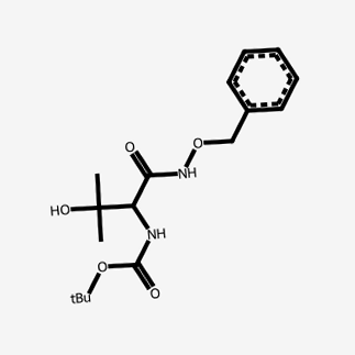 CC(C)(C)OC(=O)NC(C(=O)NOCc1ccccc1)C(C)(C)O